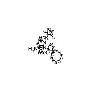 COc1c(Nc2nc(NCc3c(C)nn(C)c3C)ncc2C(N)=O)cccc1C1CCCCCCCCC1